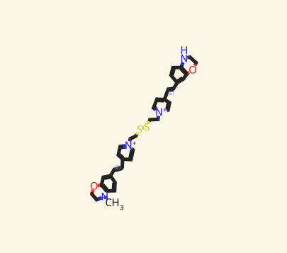 CN1CCOc2cc(/C=C/c3cc[n+](CCSSCC[n+]4ccc(/C=C/c5ccc6c(c5)OCCN6)cc4)cc3)ccc21